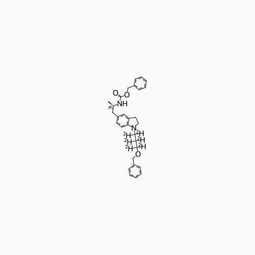 [2H]C([2H])(OCc1ccccc1)C([2H])([2H])C([2H])([2H])N1CCc2cc(C[C@@H](C)NC(=O)OCc3ccccc3)ccc21